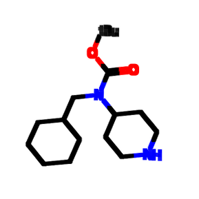 CC(C)(C)OC(=O)N(CC1CCCCC1)C1CCNCC1